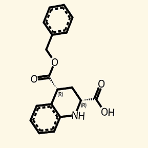 O=C(O)[C@H]1C[C@@H](C(=O)OCc2ccccc2)c2ccccc2N1